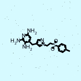 Cc1ccc(S(=O)(=O)CCn2cc(Cc3cc(N)nc(N)c3N)cn2)cc1